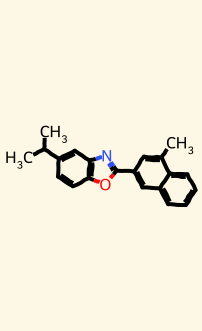 Cc1cc(-c2nc3cc(C(C)C)ccc3o2)cc2ccccc12